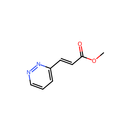 COC(=O)/C=C/c1cccnn1